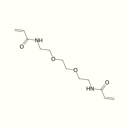 C=CC(=O)NCCOCCOCCNC(=O)C=C